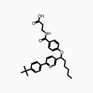 CCCCCC(Oc1ccc(C(=O)NCCC(=O)O)cc1)c1ccc(-c2ccc(C(C)(C)C)cc2)nc1